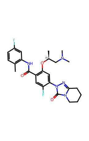 Cc1ccc(F)cc1NC(=O)c1cc(F)c(-n2nc3n(c2=O)CCCC3)cc1O[C@@H](C)CN(C)C